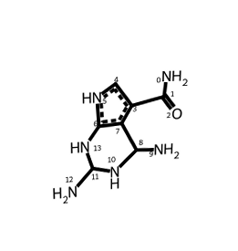 NC(=O)c1c[nH]c2c1C(N)NC(N)N2